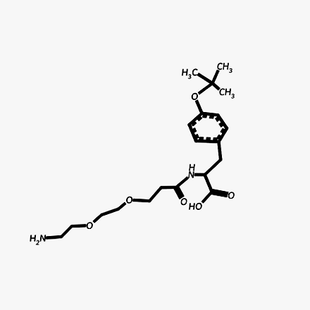 CC(C)(C)Oc1ccc(CC(NC(=O)CCOCCOCCN)C(=O)O)cc1